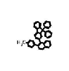 Cc1ccc(-c2ccc3ccccc3c2-c2ccc3c(c2)C(c2ccccc2)(c2ccccc2)c2ccccc2-3)cc1